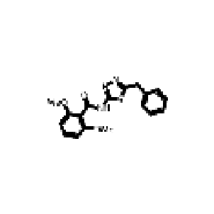 COc1cccc(OC)c1C(=O)Nc1nnc(Cc2ccccc2)s1